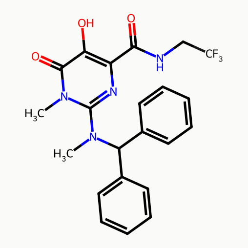 CN(c1nc(C(=O)NCC(F)(F)F)c(O)c(=O)n1C)C(c1ccccc1)c1ccccc1